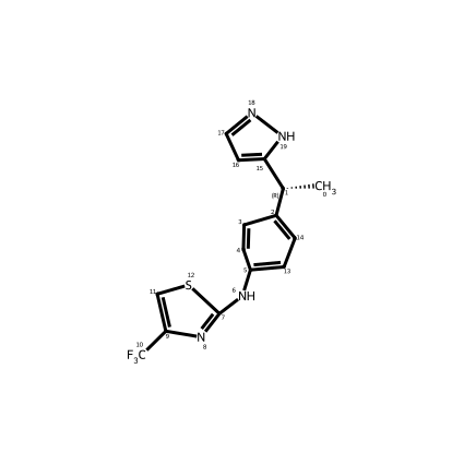 C[C@H](c1ccc(Nc2nc(C(F)(F)F)cs2)cc1)c1ccn[nH]1